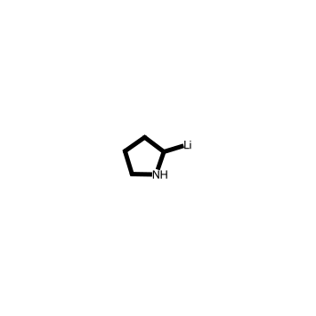 [Li][CH]1CCCN1